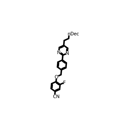 CCCCCCCCCCCCc1cnc(-c2ccc(COc3ccc(C#N)cc3F)cc2)nc1